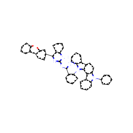 N=C(/N=c1/nc(-c2ccc3c(c2)oc2ccccc23)c2ccccc2[nH]1)c1ccccc1-n1c2ccccc2c2ccc3c(c4ccccc4n3-c3ccccc3)c21